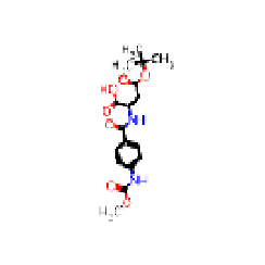 COC(=O)Nc1ccc(C(=O)NC(CC(=O)OC(C)(C)C)C(=O)O)cc1